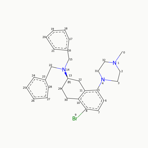 CN1CCN(c2ccc(Br)c3c2C[C@H](N(Cc2ccccc2)Cc2ccccc2)CC3)CC1